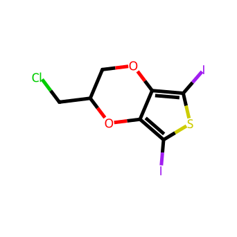 ClCC1COc2c(I)sc(I)c2O1